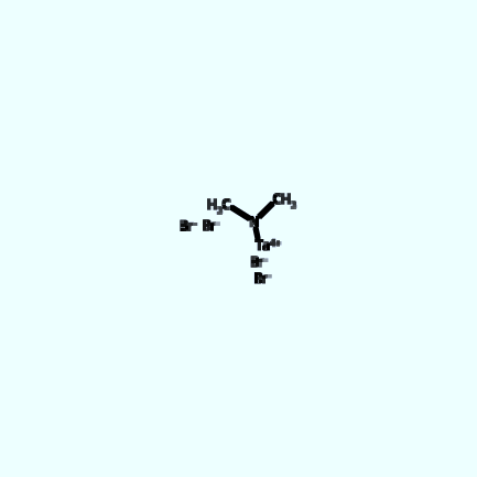 C[N](C)[Ta+4].[Br-].[Br-].[Br-].[Br-]